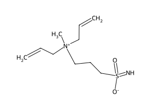 C=CC[N+](C)(CC=C)CCCS(=N)(=O)[O-]